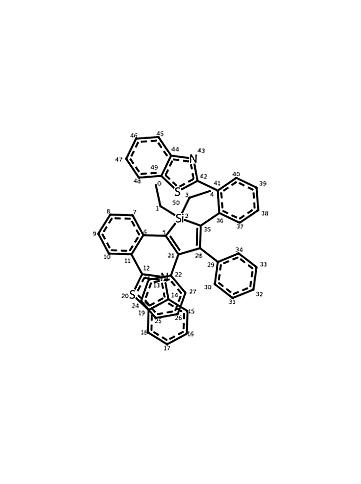 CC[Si]1(CC)C(c2ccccc2-c2nc3ccccc3s2)=C(c2ccccc2)C(c2ccccc2)=C1c1ccccc1-c1nc2ccccc2s1